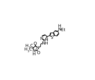 CCNc1ccc2sc(-c3ccnc(NCCN4C(=O)NC(C)(C)C4=O)n3)cc2c1